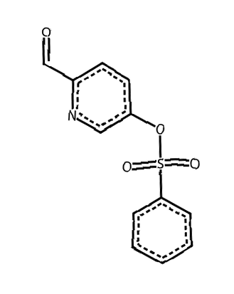 O=Cc1ccc(OS(=O)(=O)c2ccccc2)cn1